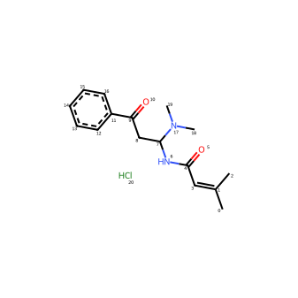 CC(C)=CC(=O)NC(CC(=O)c1ccccc1)N(C)C.Cl